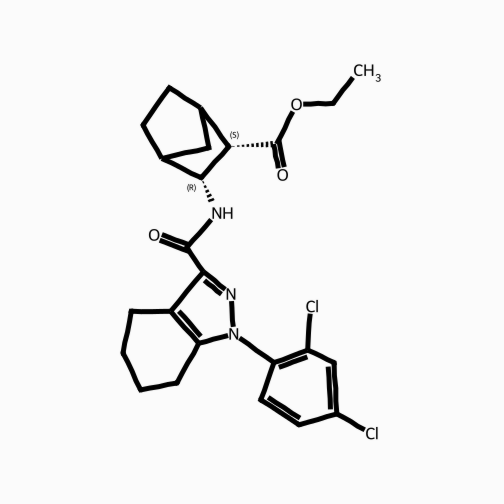 CCOC(=O)[C@H]1C2CCC(C2)[C@H]1NC(=O)c1nn(-c2ccc(Cl)cc2Cl)c2c1CCCC2